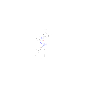 O=C(O)c1cccc(-c2cccc(NN=C3C(=O)N(c4cc(C(F)(F)F)cc(C(F)(F)F)c4)c4ccccc43)c2O)c1